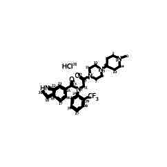 CN1CCC(N2CCN(C(=O)CN(C(=O)c3ccc4cc[nH]c4c3)c3ccccc3C(F)(F)F)CC2)CC1.Cl